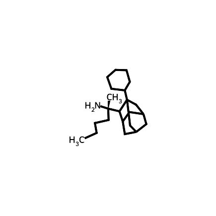 CCCC[C@](C)(N)C1C2CC3CC(C2)CC1(C1CCCCC1)C3